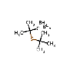 B.B.CC(C)(C)SC(C)(C)C